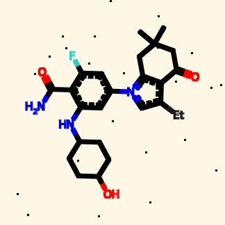 CCc1cn(-c2cc(F)c(C(N)=O)c(NC3CCC(O)CC3)c2)c2c1C(=O)CC(C)(C)C2